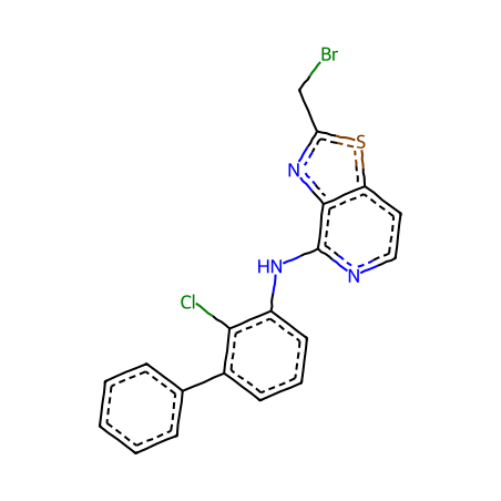 Clc1c(Nc2nccc3sc(CBr)nc23)cccc1-c1ccccc1